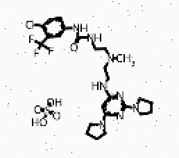 CN(CCNC(=O)Nc1ccc(Cl)c(C(F)(F)F)c1)CCNc1cc(N2CCCC2)nc(N2CCCC2)n1.O=S(=O)(O)O